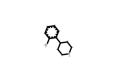 CCc1ccccc1C1CC[N]CC1